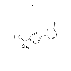 CC(C)c1ccc(-c2[c]ccc(F)c2)cc1